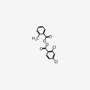 Cc1ccccc1C(=O)OOC(=O)c1ccc(Cl)cc1Cl